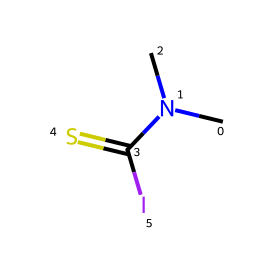 CN(C)C(=S)I